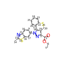 CCOC(=O)c1nn(-c2ccc3nc(C)sc3c2)c2c1CSc1ccccc1-2